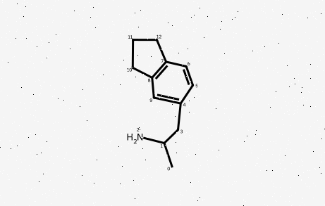 CC(N)Cc1ccc2c(c1)CCC2